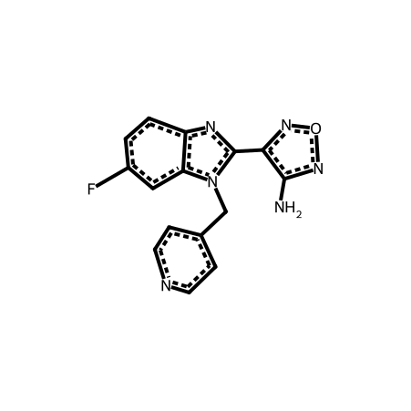 Nc1nonc1-c1nc2ccc(F)cc2n1Cc1ccncc1